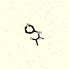 CC(F)[C@H](C)Nc1cccnc1